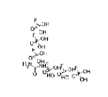 NC(N)=O.O=P(O)(O)F.O=P(O)(O)F.O=P(O)(O)F.O=P(O)(O)F.O=P(O)(O)F.O=P(O)(O)F